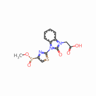 COS(=O)c1csc(-n2c(=O)n(CC(=O)O)c3ccccc32)n1